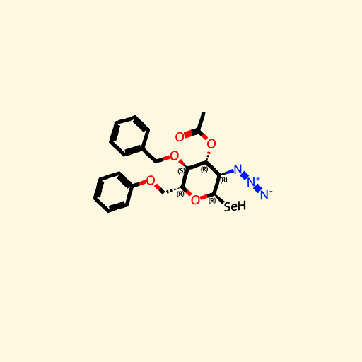 CC(=O)O[C@@H]1[C@@H](N=[N+]=[N-])[C@@H]([SeH])O[C@H](COc2ccccc2)[C@H]1OCc1ccccc1